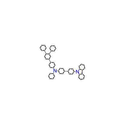 c1ccc(-c2ccc(-c3ccc(N(c4ccccc4)c4ccc(-c5ccc(-n6c7ccccc7c7ccccc76)cc5)cc4)cc3)cc2-c2ccccc2)cc1